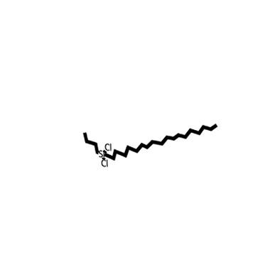 CCCCCCCCCCCCCCCCCC[Si](Cl)(Cl)CCCC